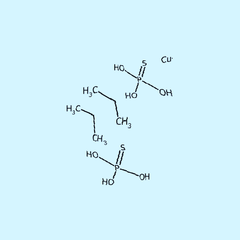 CCC.CCC.OP(O)(O)=S.OP(O)(O)=S.[Cu]